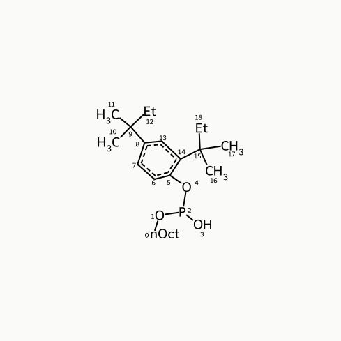 CCCCCCCCOP(O)Oc1ccc(C(C)(C)CC)cc1C(C)(C)CC